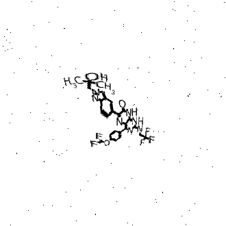 CC(C)(O)Cn1cc2cc(-c3nc4c(-c5ccc(OC(F)F)cc5)nc(NCC(F)(F)F)nc4[nH]c3=O)ccc2n1